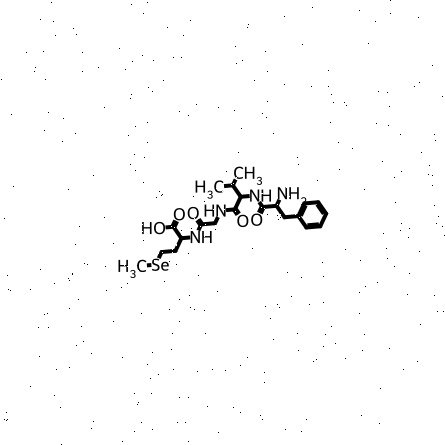 C[Se]CCC(NC(=O)CNC(=O)C(NC(=O)C(N)Cc1ccccc1)C(C)C)C(=O)O